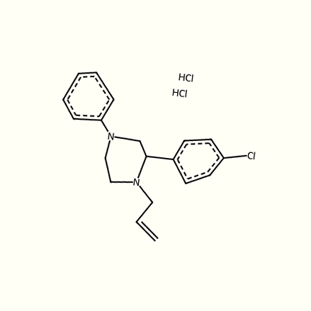 C=CCN1CCN(c2ccccc2)CC1c1ccc(Cl)cc1.Cl.Cl